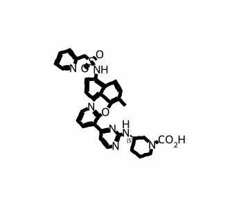 Cc1ccc2c(NS(=O)(=O)Cc3ccccn3)cccc2c1Oc1ncccc1-c1ccnc(N[C@H]2CCCN(C(=O)O)C2)n1